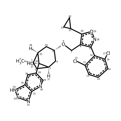 C[C@H]1C[C@@H]2C[C@@H](OCc3c(-c4c(Cl)cccc4Cl)noc3C3CC3)C[C@H]1[C@]2(O)c1cnc2nn[nH]c2c1